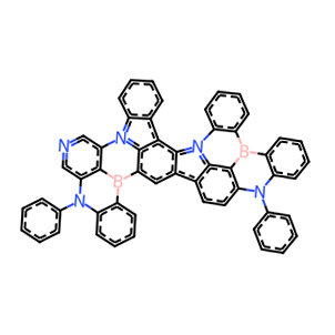 c1ccc(N2c3ccccc3B3c4c2cncc4-n2c4ccccc4c4c2c3cc2c3ccc5c6c3n(c24)-c2ccccc2B6c2ccccc2N5c2ccccc2)cc1